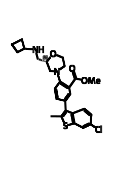 COC(=O)c1cc(-c2c(C)sc3cc(Cl)ccc23)ccc1N1CCO[C@@H](CNC2CCC2)C1